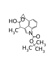 CC(C(=O)O)c1cn(C(=O)OC(C)(C)C)c2cccc(C3CC3)c12